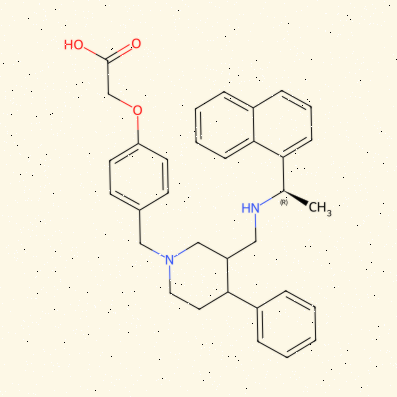 C[C@@H](NCC1CN(Cc2ccc(OCC(=O)O)cc2)CCC1c1ccccc1)c1cccc2ccccc12